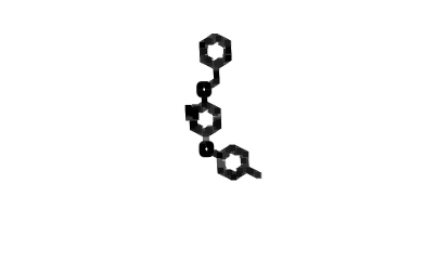 Cc1ccc(Oc2ccc(OCc3ccccc3)nc2)cc1